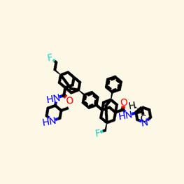 CC1CNCCC1NC(=O)C12CC3C[C@@](CCF)(C1)C[C@](c1ccc(C45CC6(C(=O)N[C@@H]7CN8CCC7CC8)C[C@](CF)(C4)C[C@@](c4ccccc4)(C6)C5)cc1)(C3)C2